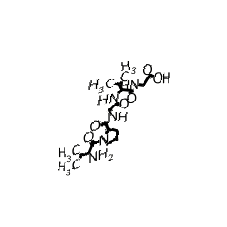 CC(C)C(N)C(=O)N1CCCC1C(=O)NCC(=O)NC(C(=O)NCC(=O)O)C(C)C